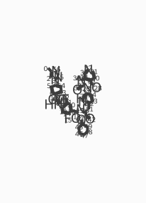 Cc1cn(-c2ccc(S(=O)(=O)Nc3cc(F)c(C(=O)N[C@@H](Cc4ccc(-n5c(=O)c6ccncc6n(C)c5=O)cn4)C(=O)OC4CCCCC4)cc3F)cc2)nn1